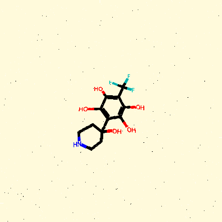 Oc1c(O)c(C2(O)CCNCC2)c(O)c(O)c1C(F)(F)F